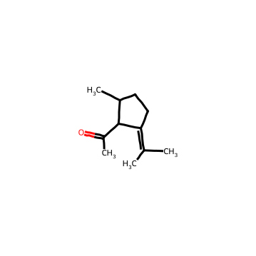 CC(=O)C1C(=C(C)C)CCC1C